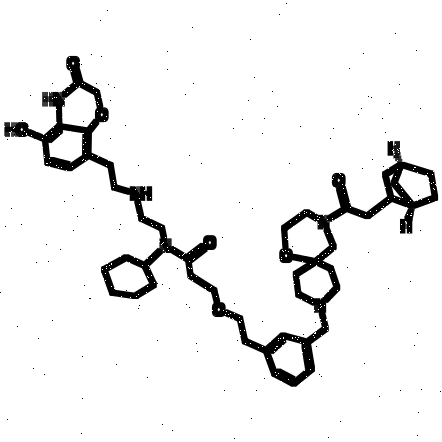 O=C1COc2c(CCNCCN(C(=O)CCOCCc3cccc(CN4CCC5(CC4)CN(C(=O)CC4C[C@H]6CC[C@H]4C6)CCO5)c3)C3CCCCC3)ccc(O)c2N1